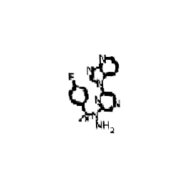 C[C@@H](c1ccc(F)cc1)N(N)c1cncc(-n2cnc3ncccc32)n1